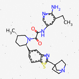 CCc1cc(NC(=O)C(=O)N2C[C@@H](C)CC[C@@H]2c2ccc3sc(C45CCN(CC4)C5)nc3c2)cnc1N